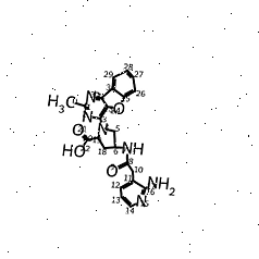 Cc1nc(N2CC(NC(=O)Cc3cccnc3N)CC2C(=O)O)c2oc3ccccc3c2n1